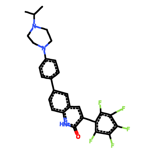 CC(C)N1CCN(c2ccc(-c3ccc4[nH]c(=O)c(-c5c(F)c(F)c(F)c(F)c5F)cc4c3)cc2)CC1